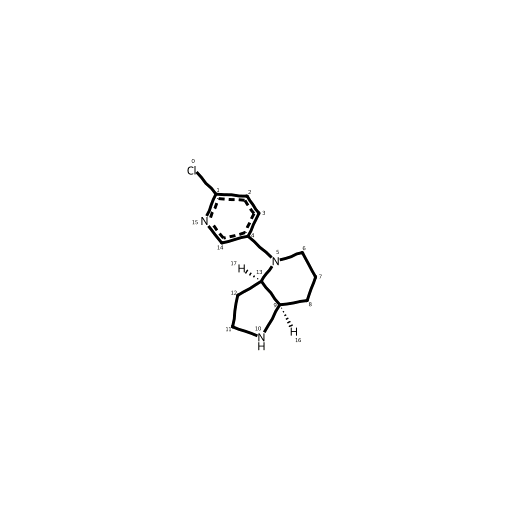 Clc1ccc(N2CCC[C@H]3NCC[C@H]32)cn1